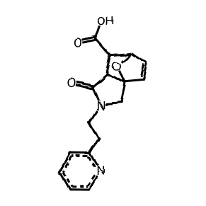 O=C(O)C1C2C=CC3(CN(CCc4ccccn4)C(=O)C13)O2